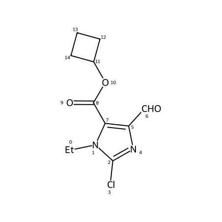 CCn1c(Cl)nc(C=O)c1C(=O)OC1CCC1